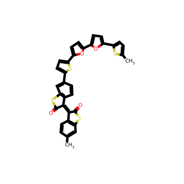 Cc1ccc2c(c1)SC(=O)/C2=C1/C(=O)Sc2cc(-c3ccc(-c4ccc(-c5ccc(-c6ccc(C)s6)o5)o4)s3)ccc21